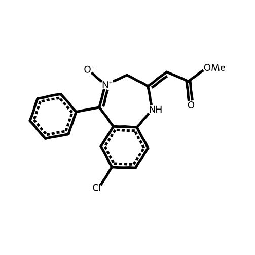 COC(=O)C=C1C[N+]([O-])=C(c2ccccc2)c2cc(Cl)ccc2N1